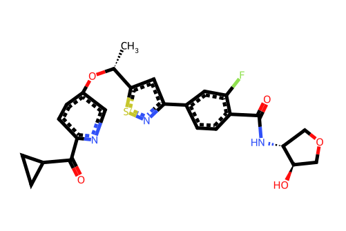 C[C@@H](Oc1ccc(C(=O)C2CC2)nc1)c1cc(-c2ccc(C(=O)N[C@@H]3COC[C@H]3O)c(F)c2)ns1